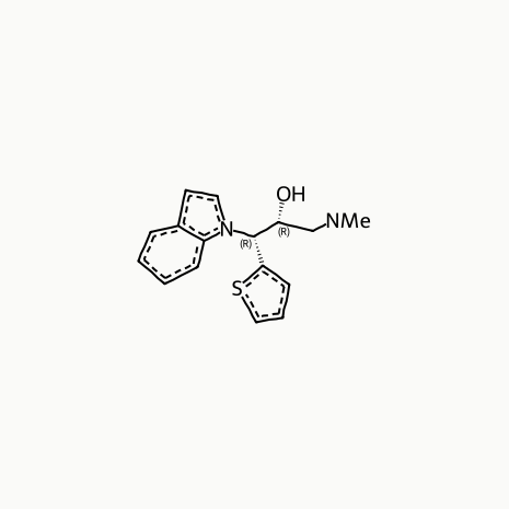 CNC[C@@H](O)[C@H](c1cccs1)n1ccc2ccccc21